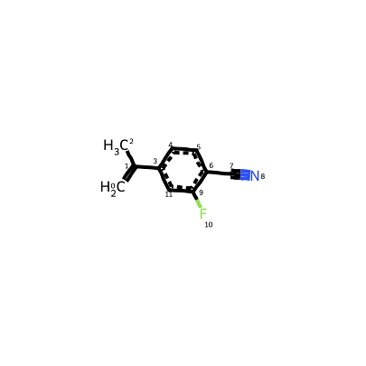 C=C(C)c1ccc(C#N)c(F)c1